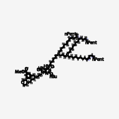 CCCCC/C=C\C/C=C\CCCCCCCCN(CCCCCCCC/C=C\C/C=C\CCCCC)CCCN(CCCCCCCC/C=C\C/C=C\CCCCC)CCCCCC(=O)Nc1nc(OCCCC)nc2c1[nH]c(=O)n2CCCN(CCCN1CCOCC1)Cc1cccc(C(=O)OC)c1